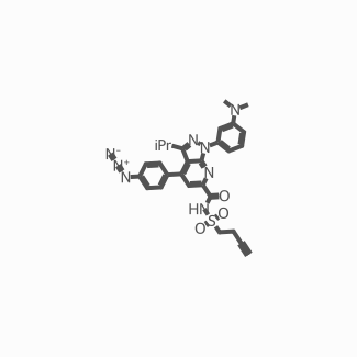 C#CCCS(=O)(=O)NC(=O)c1cc(-c2ccc(N=[N+]=[N-])cc2)c2c(C(C)C)nn(-c3cccc(N(C)C)c3)c2n1